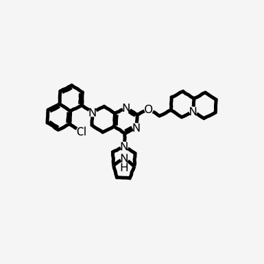 Clc1cccc2cccc(N3CCc4c(nc(OCC5CCC6CCCCN6C5)nc4N4CC5CCC(C4)N5)C3)c12